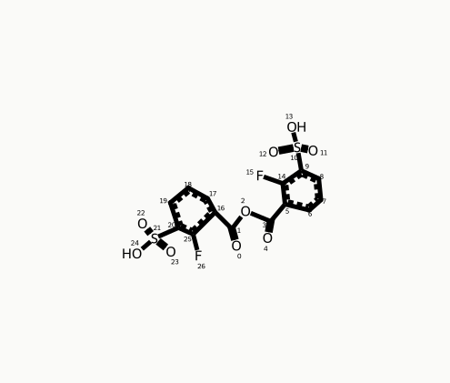 O=C(OC(=O)c1cccc(S(=O)(=O)O)c1F)c1cccc(S(=O)(=O)O)c1F